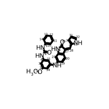 COc1cc(NC(=O)Nc2ccccc2)cc(Nc2ccc3c(c2)NC(=O)C3=Cc2ccc[nH]2)c1